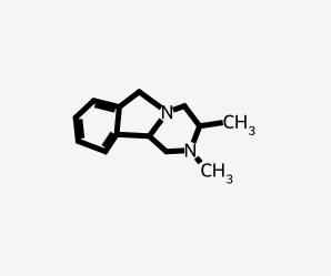 CC1CN2Cc3ccccc3C2CN1C